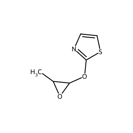 CC1OC1Oc1nccs1